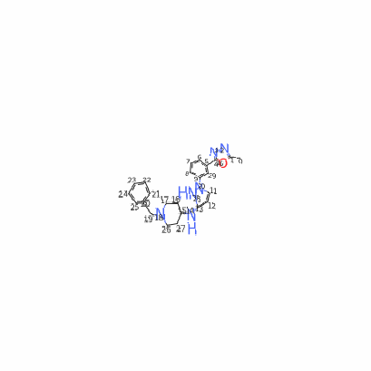 Cc1nnc(-c2cccc(N3C=CC(NC4CCN(Cc5ccccc5)CC4)N3)c2)o1